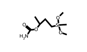 CO[Si](C)(CCC(C)OC(N)=O)OC